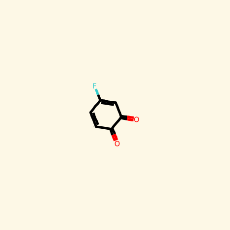 O=C1[C]=CC(F)=CC1=O